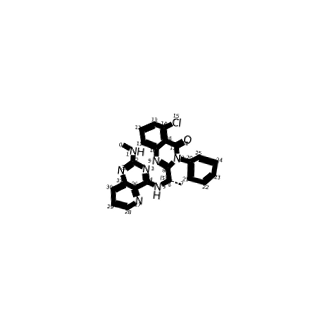 CNc1nc(N[C@@H](C)c2nc3cccc(Cl)c3c(=O)n2-c2ccccc2)c2ncccc2n1